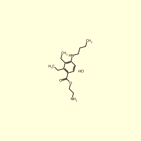 CCCCNc1ccc(C(=O)OCCN)c(CC)c1CC.Cl